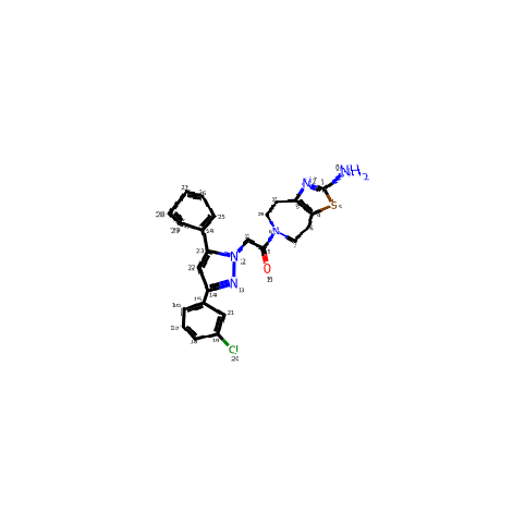 Nc1nc2c(s1)CCN(C(=O)Cn1nc(-c3cccc(Cl)c3)cc1-c1ccccc1)CC2